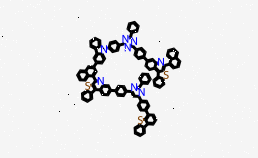 C1=C(c2ccc(-c3nc(-c4ccccc4)nc(-c4ccc(-n5c6ccccc6c6cc(-c7cc(-c8nc9cc(-c%10ccc(-c%11cc(-c%12ccc(-c%13cccc%14c%13sc%13ccccc%13%14)cc%12)nc(-c%12ccccc%12)n%11)cc%10)ccc9c9c8sc8ccccc89)c8ccccc8c7)ccc65)cc4)n3)cc2)CCc2c1nc(-c1cccc3ccccc13)c1sc3ccccc3c21